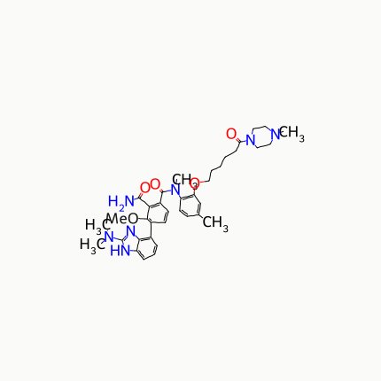 COc1c(-c2cccc3[nH]c(N(C)C)nc23)ccc(C(=O)N(C)c2ccc(C)cc2OCCCCCC(=O)N2CCN(C)CC2)c1C(N)=O